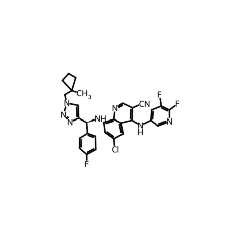 CC1(Cn2cc([C@@H](Nc3cc(Cl)cc4c(Nc5cnc(F)c(F)c5)c(C#N)cnc34)c3ccc(F)cc3)nn2)CCC1